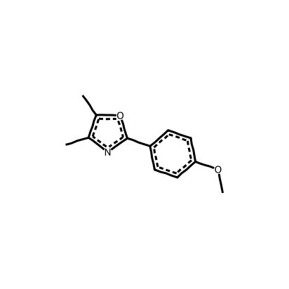 COc1ccc(-c2nc(C)c(C)o2)cc1